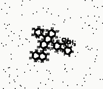 CC1(C)c2ccccc2-c2ccc(-c3c4ccccc4c(-c4ncccn4)c4ccc(-c5cccc6ccccc56)cc34)cc21